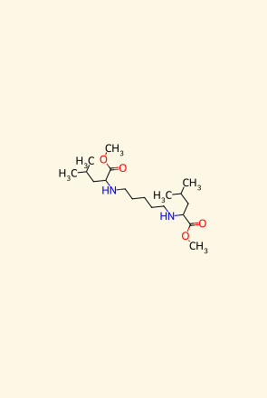 COC(=O)C(CC(C)C)NCCCCCNC(CC(C)C)C(=O)OC